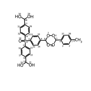 Cc1ccc(C2OOC(c3ccc(P(=O)(c4ccc(C(O)O)cc4)c4ccc(C(O)O)cc4)cc3)OO2)cc1